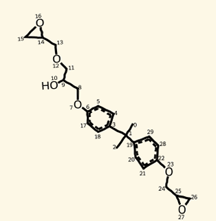 CC(C)(c1ccc(OCC(O)COCC2CO2)cc1)c1ccc(OCC2CO2)cc1